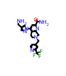 NCc1cnn(-c2cc(C(N)=O)nc3c2CCN(Cc2ccnc(C(F)(F)F)c2)C3)c1